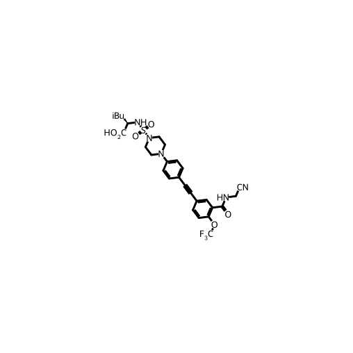 CCC(C)[C@@H](NS(=O)(=O)N1CCN(c2ccc(C#Cc3ccc(OC(F)(F)F)c(C(=O)NCC#N)c3)cc2)CC1)C(=O)O